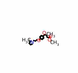 CCOC(=O)CC(C)C(=O)c1ccc(OCCCN2CCC[C@H]2C)cc1